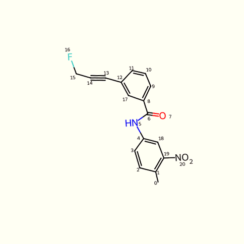 Cc1ccc(NC(=O)c2cccc(C#CCF)c2)cc1[N+](=O)[O-]